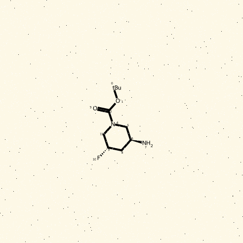 CC(C)(C)OC(=O)N1C[C@@H](N)C[C@H](F)C1